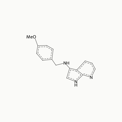 COc1ccc(CNc2c[nH]c3ncccc23)cc1